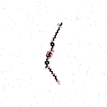 C=CC(=O)OCCCCCCCCCCOc1ccc(/C=C/C(=O)O[C@@H]2CO[C@H]3[C@@H]2OC[C@H]3C=Cc2ccc(C(=C)OCCCCCOCCCCCOC)cc2)cc1